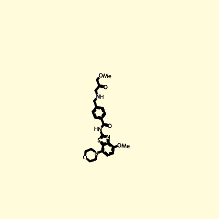 COCC(=O)CNCc1ccc(C(=O)Nc2nc3c(OC)ccc(N4CCOCC4)c3s2)cc1